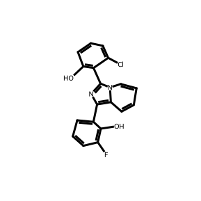 Oc1cccc(Cl)c1-c1nc(-c2cccc(F)c2O)c2ccccn12